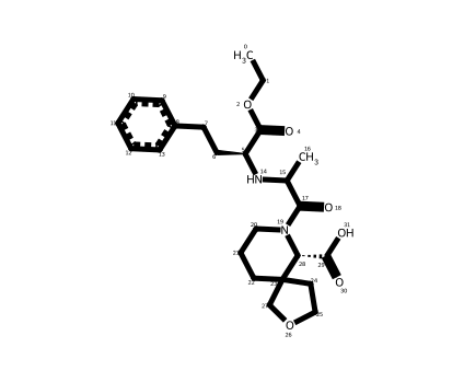 CCOC(=O)[C@H](CCc1ccccc1)NC(C)C(=O)N1CCCC2(CCOC2)[C@H]1C(=O)O